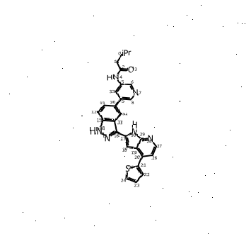 CC(C)CC(=O)Nc1cncc(-c2ccc3[nH]nc(-c4cc5c(-c6cccs6)ccnc5[nH]4)c3c2)c1